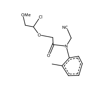 COCC(Cl)OCC(=O)N(CC#N)c1ccccc1C